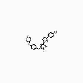 Cn1c(N2CCC(c3ccc(Cl)cc3)=N2)nn(Cc2ccc(CN3CCOCC3)cc2)c1=O